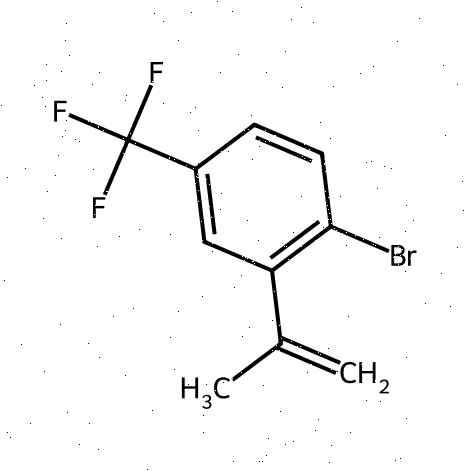 C=C(C)c1cc(C(F)(F)F)ccc1Br